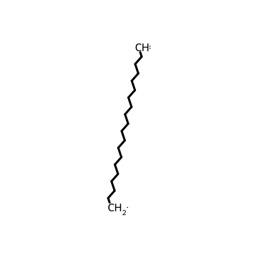 [CH]CCCCCCCCCCCCCCCCCC[CH2]